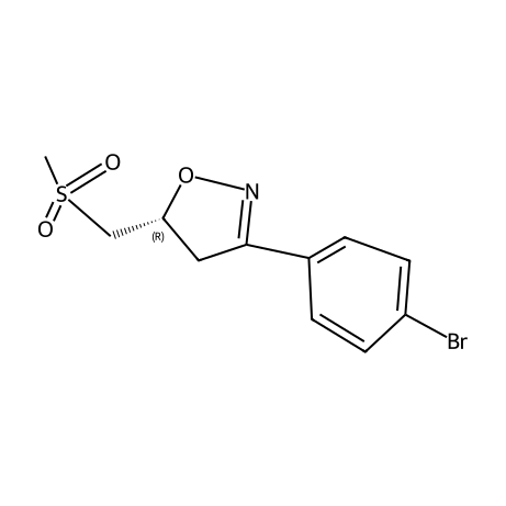 CS(=O)(=O)C[C@H]1CC(c2ccc(Br)cc2)=NO1